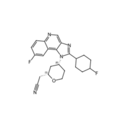 N#CC[C@@H]1C[C@H](n2c(C3CCC(F)CC3)nc3cnc4ccc(F)cc4c32)CCO1